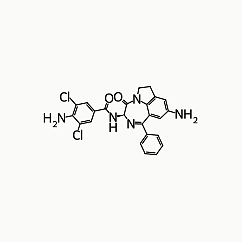 Nc1cc2c3c(c1)C(c1ccccc1)=N[C@@H](NC(=O)c1cc(Cl)c(N)c(Cl)c1)C(=O)N3CC2